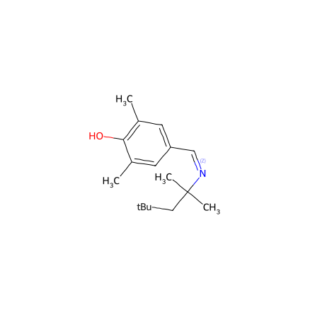 Cc1cc(/C=N\C(C)(C)CC(C)(C)C)cc(C)c1O